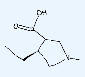 CC[C@@H]1CN(C)CC1C(=O)O